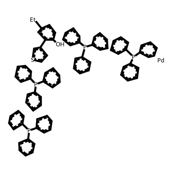 CCc1ccc(O)c(-c2ccsc2)c1.[Pd].c1ccc(P(c2ccccc2)c2ccccc2)cc1.c1ccc(P(c2ccccc2)c2ccccc2)cc1.c1ccc(P(c2ccccc2)c2ccccc2)cc1.c1ccc(P(c2ccccc2)c2ccccc2)cc1